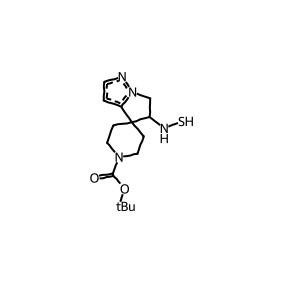 CC(C)(C)OC(=O)N1CCC2(CC1)c1ccnn1CC2NS